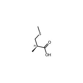 CSC[C@H](C)C(=O)O